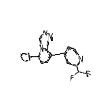 FC(F)c1cc(-c2ccc(Cl)n3cnnc23)ccn1